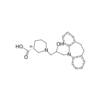 O=C(O)[C@@H]1CCCN(CC(O)CN2c3ccccc3CCc3ccccc32)C1